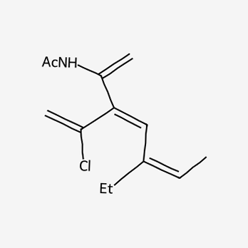 C=C(Cl)/C(=C\C(=C/C)CC)C(=C)NC(C)=O